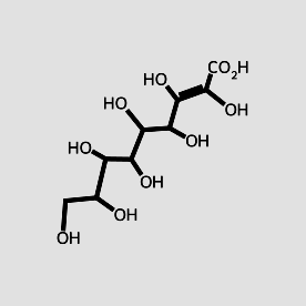 O=C(O)C(O)=C(O)C(O)C(O)C(O)C(O)C(O)CO